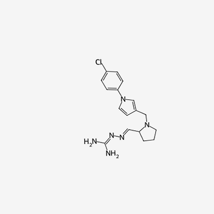 NC(N)=N/N=C/C1CCCN1Cc1ccn(-c2ccc(Cl)cc2)c1